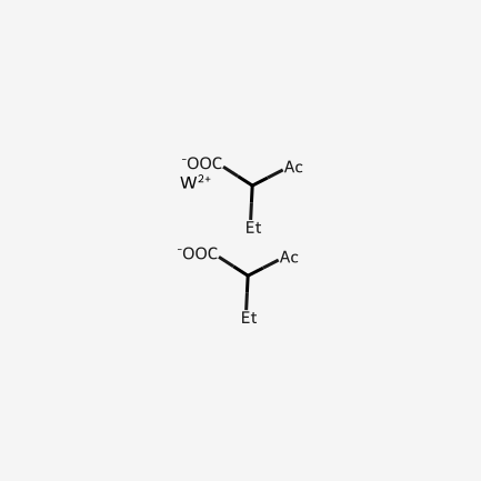 CCC(C(C)=O)C(=O)[O-].CCC(C(C)=O)C(=O)[O-].[W+2]